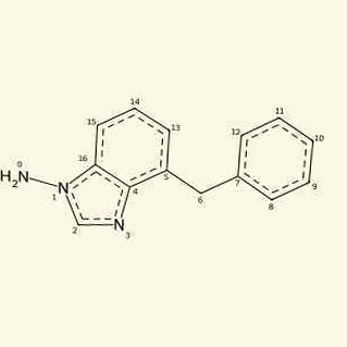 Nn1cnc2c(Cc3ccccc3)cccc21